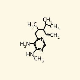 C=CC(C(C)C)C(C)Cc1ncnc(NC)c1N